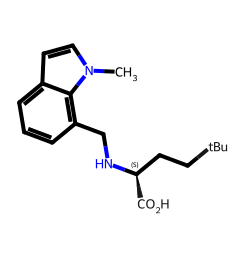 Cn1ccc2cccc(CN[C@@H](CCC(C)(C)C)C(=O)O)c21